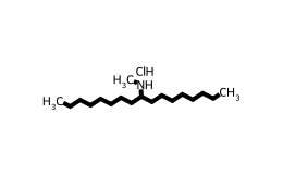 CCCCCCCCC(CCCCCCCC)NC.Cl